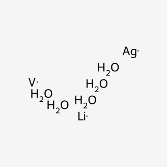 O.O.O.O.O.[Ag].[Li].[V]